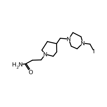 NC(=O)CCN1CCC(CN2CCN(CI)CC2)CC1